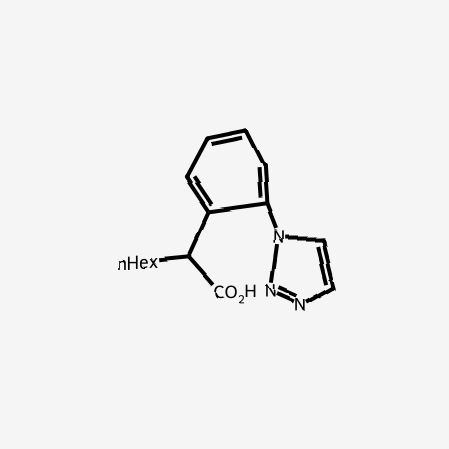 CCCCCCC(C(=O)O)c1ccccc1-n1ccnn1